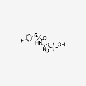 CC(C)(Sc1ccc(F)cc1)C(=O)Nc1cc(C(C)(C)CO)on1